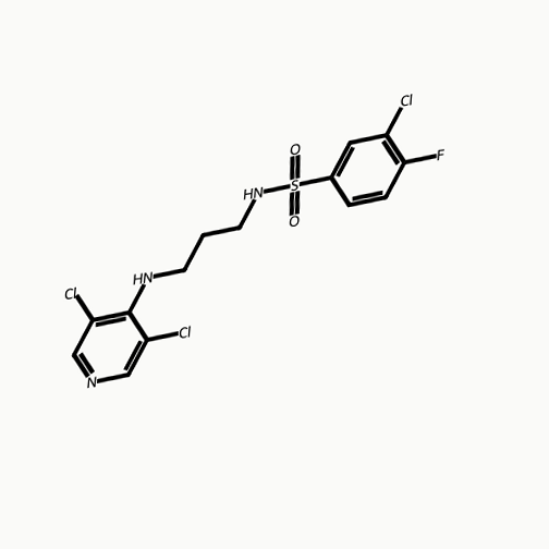 O=S(=O)(NCCCNc1c(Cl)cncc1Cl)c1ccc(F)c(Cl)c1